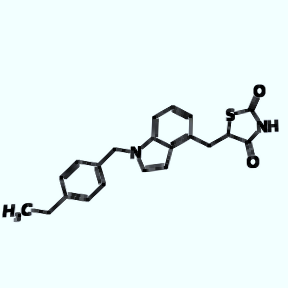 CCc1ccc(Cn2ccc3c(CC4SC(=O)NC4=O)cccc32)cc1